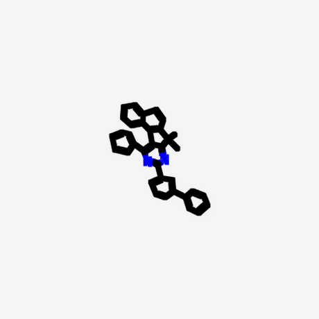 CC1(C)c2ccc3ccccc3c2-c2c(-c3ccccc3)nc(-c3cccc(-c4ccccc4)c3)nc21